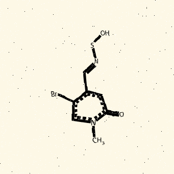 Cn1cc(Br)c(/C=N/SO)cc1=O